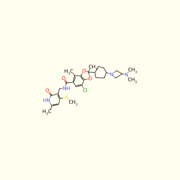 CSc1cc(C)[nH]c(=O)c1CNC(=O)c1cc(Cl)c2c(c1C)OC(C)(C1CCC(N3CC(N(C)C)C3)CC1)O2